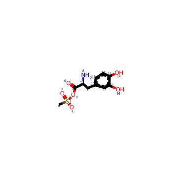 CS(=O)(=O)OC(=O)[C@@H](N)Cc1ccc(O)c(O)c1